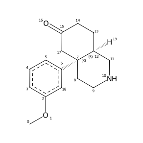 COc1cccc([C@@]23CCNC[C@@H]2CCC(=O)C3)c1